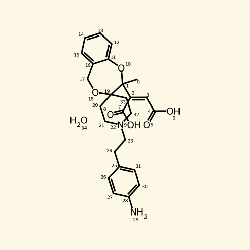 CC1(/C(=C/C(=O)O)C(=O)O)Oc2ccccc2COC12CCN(CCc1ccc(N)cc1)CC2.O